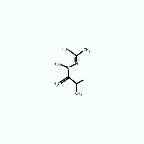 C=C(C(C)I)N(/N=C(/C)N)C(C)(C)C